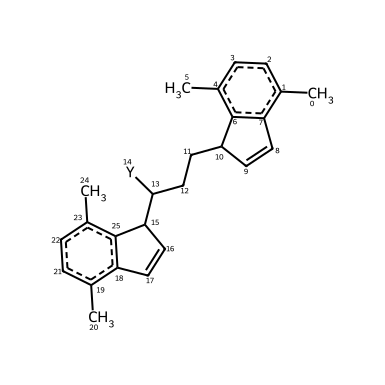 Cc1ccc(C)c2c1C=CC2CC[CH]([Y])C1C=Cc2c(C)ccc(C)c21